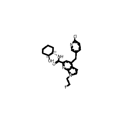 O=C(N[C@H]1CCCC[C@@H]1O)c1cc(Cc2ccc(Cl)nc2)c2ccn(CCF)c2n1